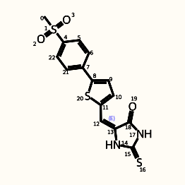 CS(=O)(=O)c1ccc(-c2ccc(/C=C3/NC(=S)NC3=O)s2)cc1